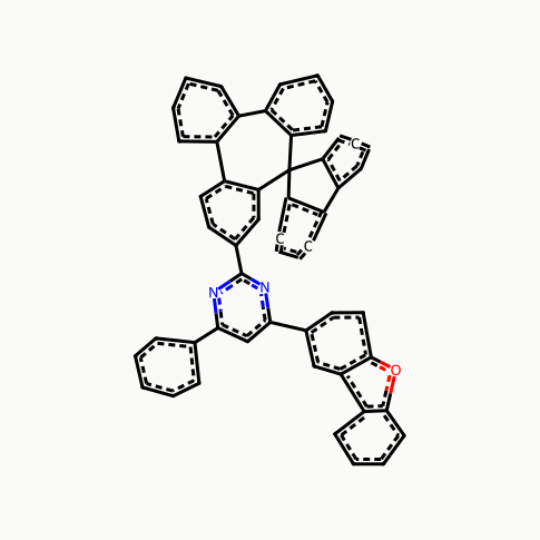 c1ccc(-c2cc(-c3ccc4oc5ccccc5c4c3)nc(-c3ccc4c(c3)C3(c5ccccc5-c5ccccc5-4)c4ccccc4-c4ccccc43)n2)cc1